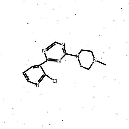 CN1CCN(c2ncnc(-c3cccnc3Cl)n2)CC1